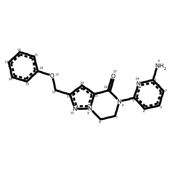 Nc1cccc(N2CCn3nc(COc4ccccc4)cc3C2=O)n1